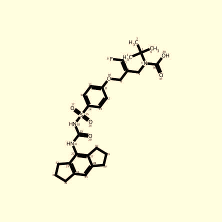 CC(C)(C)N(CC(=CF)COc1ccc(S(=O)(=O)NC(=O)Nc2c3c(cc4c2CCC4)CCC3)cc1)C(=O)O